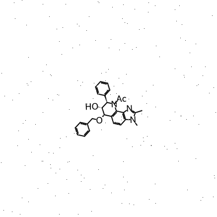 CC(=O)N1c2c(ccc3c2nc(C)n3C)[C@@H](OCc2ccccc2)[C@H](O)[C@H]1c1ccccc1